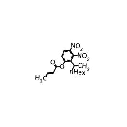 C/C=C/C(=O)Oc1ccc([N+](=O)[O-])c([N+](=O)[O-])c1C(C)CCCCCC